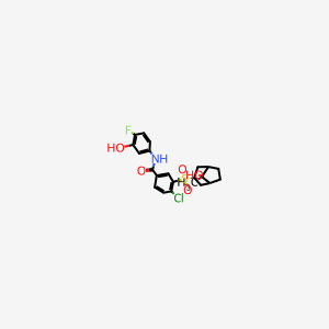 C[C@]1(O)C2CCC1C[C@@H](S(=O)(=O)c1cc(C(=O)Nc3ccc(F)c(O)c3)ccc1Cl)C2